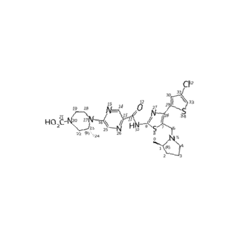 C[C@@H]1CCCN1Cc1sc(NC(=O)c2cnc(N3CCN(C(=O)O)C[C@H]3C)cn2)nc1-c1cc(Cl)cs1